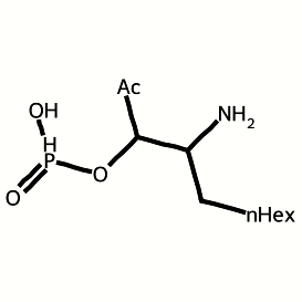 CCCCCCCC(N)C(O[PH](=O)O)C(C)=O